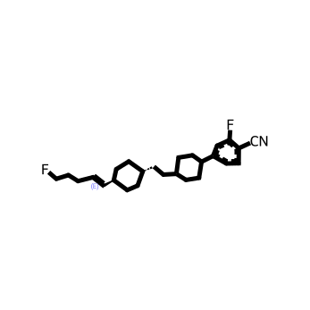 N#Cc1ccc(C2CCC(CC[C@H]3CC[C@H](/C=C/CCCF)CC3)CC2)cc1F